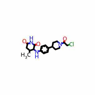 CC1CC(=O)NC(=O)C1Nc1ccc(C2CCN(C(=O)CCl)CC2)cc1